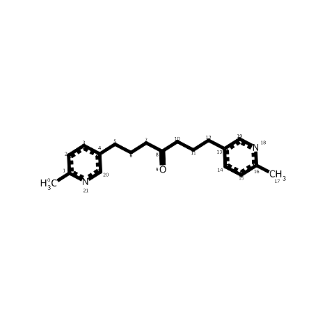 Cc1ccc(CCCC(=O)CCCc2ccc(C)nc2)cn1